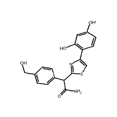 NC(=O)C(c1ccc(CO)cc1)c1nc(-c2ccc(O)cc2O)cs1